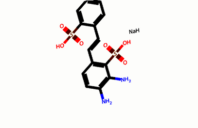 Nc1ccc(C=Cc2ccccc2S(=O)(=O)O)c(S(=O)(=O)O)c1N.[NaH]